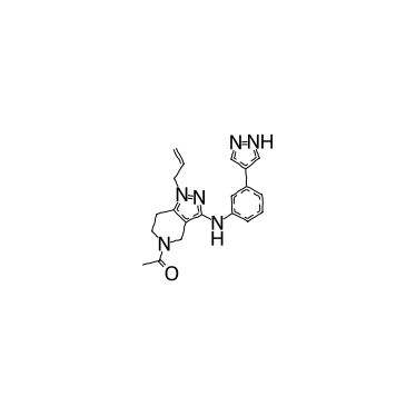 C=CCn1nc(Nc2cccc(-c3cn[nH]c3)c2)c2c1CCN(C(C)=O)C2